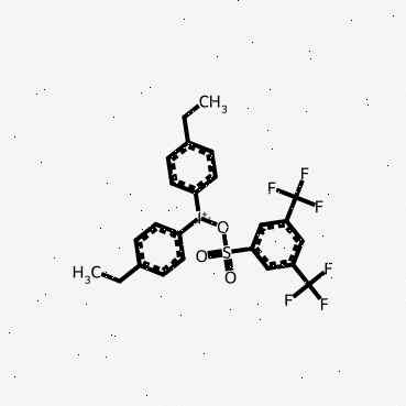 CCc1ccc([I+](OS(=O)(=O)c2cc(C(F)(F)F)cc(C(F)(F)F)c2)c2ccc(CC)cc2)cc1